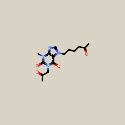 CC(=O)CCCCn1cnc2c1c(=O)n(CC(C)=O)c(=O)n2C